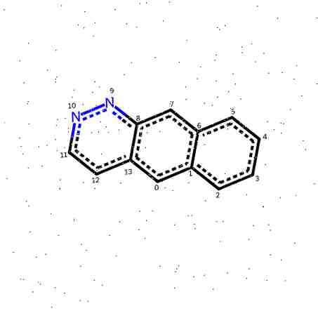 [c]1c2ccccc2cc2nnccc12